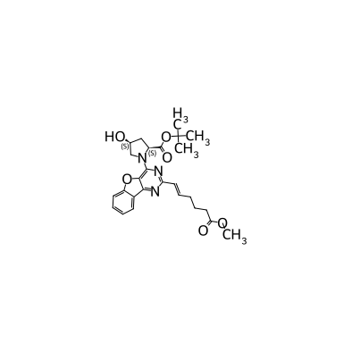 COC(=O)CCCC=Cc1nc(N2C[C@@H](O)C[C@H]2C(=O)OC(C)(C)C)c2oc3ccccc3c2n1